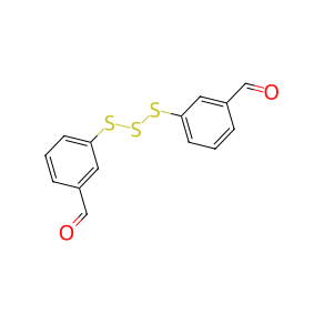 O=Cc1cccc(SSSc2cccc(C=O)c2)c1